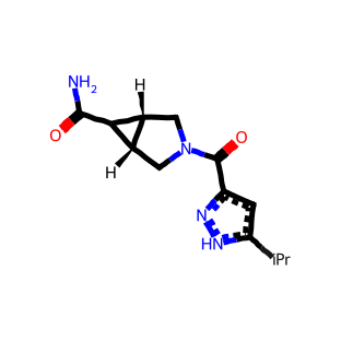 CC(C)c1cc(C(=O)N2C[C@@H]3C(C(N)=O)[C@@H]3C2)n[nH]1